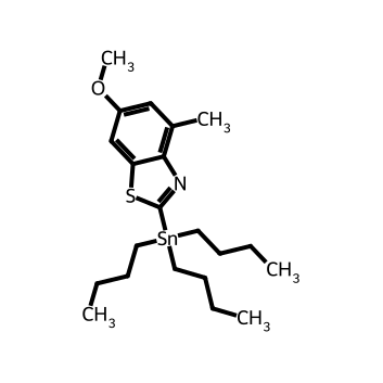 CCC[CH2][Sn]([CH2]CCC)([CH2]CCC)[c]1nc2c(C)cc(OC)cc2s1